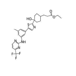 CCOC(=O)CCC1CCC(O)(c2ncc(-c3cc(C)cc(Nc4nccc(C(F)(F)F)n4)c3)s2)CC1